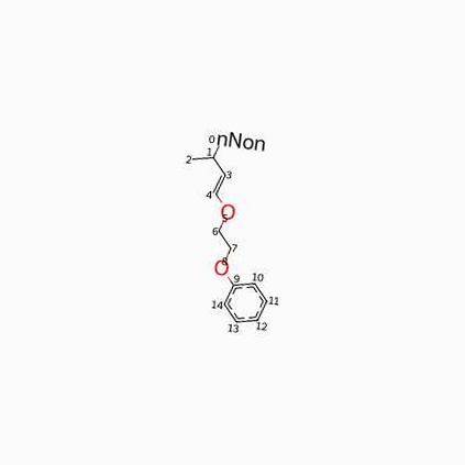 CCCCCCCCCC(C)C=COCCOc1ccccc1